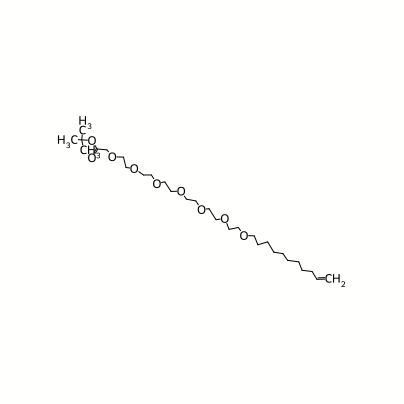 C=CCCCCCCCCCOCCOCCOCCOCCOCCOCCOCC(=O)OC(C)(C)C